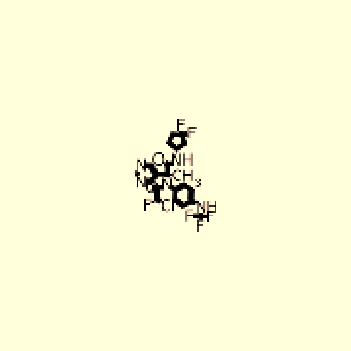 C[C@](C(=O)N[C@H]1CCC(F)(F)C1)(c1cncnc1)N(C(=O)[C@H](F)Cl)c1ccc(NC(F)(F)F)cc1